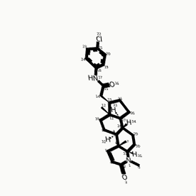 CN1C(=O)C=C[C@]2(C)[C@H]3CC[C@]4(C)[C@@H](CC(=O)Nc5ccc(Cl)cc5)CC[C@H]4[C@@H]3CC[C@@H]12